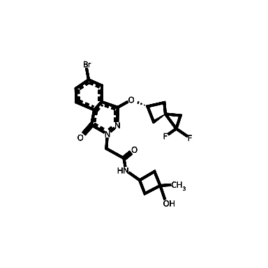 CC1(O)CC(NC(=O)Cn2nc(O[C@H]3C[C@]4(CC4(F)F)C3)c3cc(Br)ccc3c2=O)C1